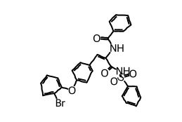 O=C(NS(=O)(=O)c1ccccc1)/C(=C\c1ccc(Oc2ccccc2Br)cc1)NC(=O)c1ccccc1